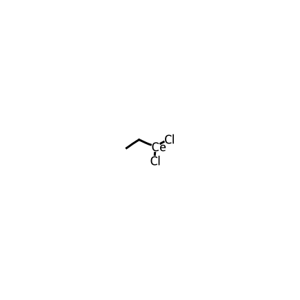 C[CH2][Ce]([Cl])[Cl]